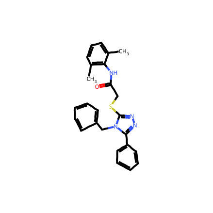 Cc1cccc(C)c1NC(=O)CSc1nnc(-c2ccccc2)n1Cc1ccccc1